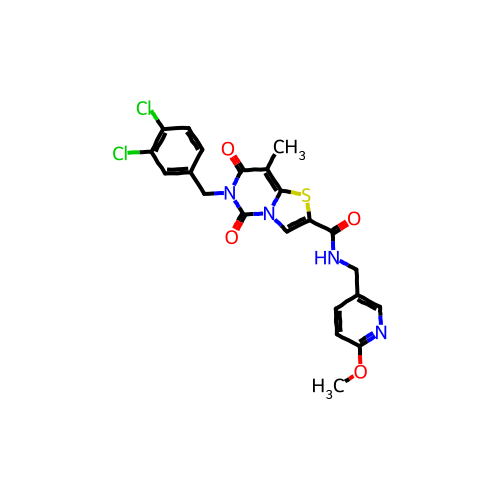 COc1ccc(CNC(=O)c2cn3c(=O)n(Cc4ccc(Cl)c(Cl)c4)c(=O)c(C)c3s2)cn1